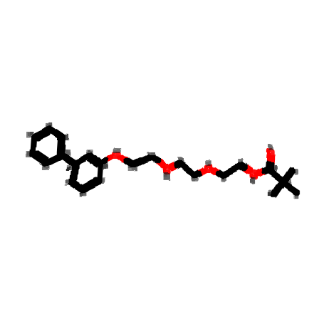 CC(C)(C)C(=O)OCCOCCOCCOc1cccc(-c2ccccc2)c1